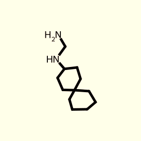 NCNC1CCC2(CCCCC2)CC1